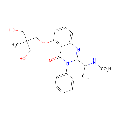 CC(NC(=O)O)c1nc2cccc(OCC(C)(CO)CO)c2c(=O)n1-c1ccccc1